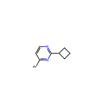 CC(C)c1ccnc(C2CCC2)n1